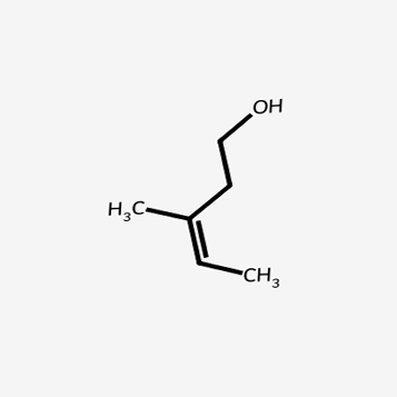 C/C=C(/C)CCO